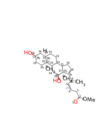 COC(=O)C/C=C\[C@@H](C)C1=CCC2C3CC[C@@H]4C[C@H](O)CC[C@]4(C)C3C[C@H](O)[C@]12C